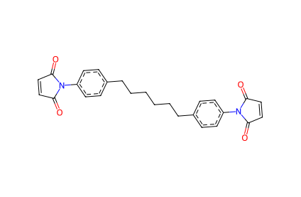 O=C1C=CC(=O)N1c1ccc(CCCCCCc2ccc(N3C(=O)C=CC3=O)cc2)cc1